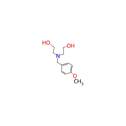 COc1ccc(CN(CCO)CCO)cc1